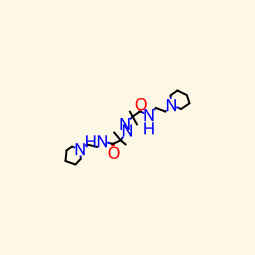 CC(C)(N=NC(C)(C)C(=O)NCCN1CCCCC1)C(=O)NCCN1CCCCC1